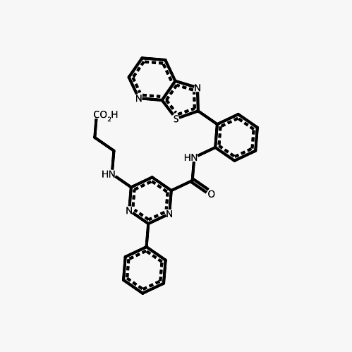 O=C(O)CCNc1cc(C(=O)Nc2ccccc2-c2nc3cccnc3s2)nc(-c2ccccc2)n1